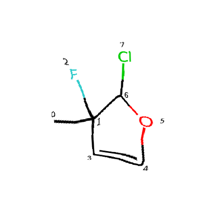 CC1(F)C=COC1Cl